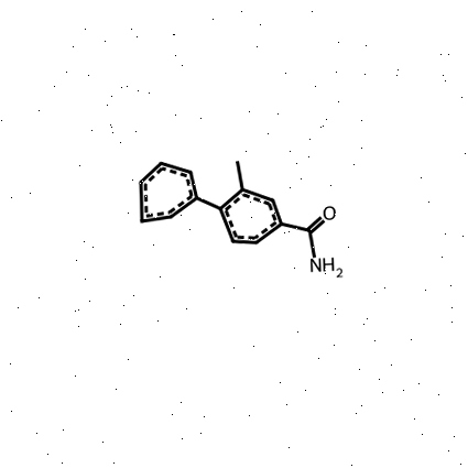 Cc1cc(C(N)=O)ccc1-c1ccccc1